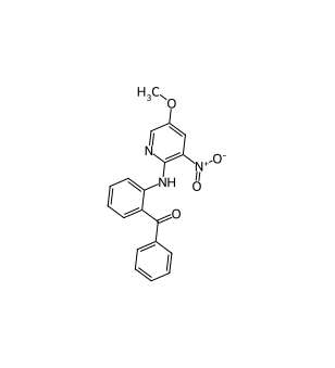 COc1cnc(Nc2ccccc2C(=O)c2ccccc2)c([N+](=O)[O-])c1